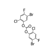 O=C(Oc1cc(Br)c(F)cc1Cl)Oc1cc(Br)c(F)cc1Cl